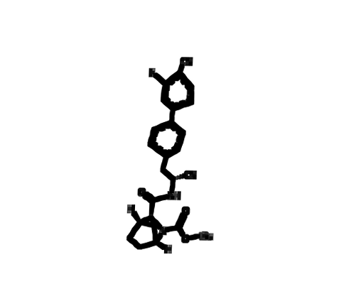 CC(C)(C)OC(=O)N1[C@@H]2CC[C@@H](C2)[C@H]1C(=O)N[C@@H](C#N)Cc1ccc(-c2ccc(C#N)c(F)c2)cc1